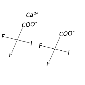 O=C([O-])C(F)(F)I.O=C([O-])C(F)(F)I.[Ca+2]